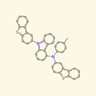 Cc1ccc(N(c2ccc3sc4ccccc4c3c2)c2cccc3c2c2ccccc2n3-c2ccc3sc4ccccc4c3c2)cc1